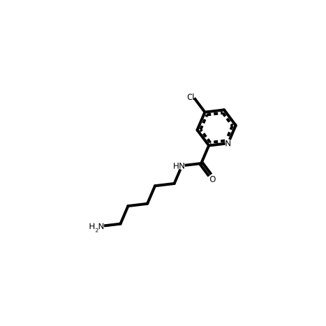 NCCCCCNC(=O)c1cc(Cl)ccn1